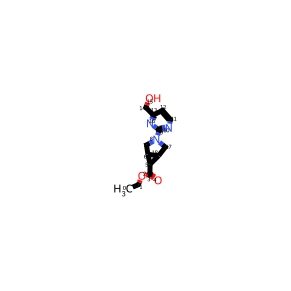 CCOC(=O)C1C2CN(c3nccc(CO)n3)CC21